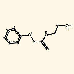 C=C(COc1ccccc1)OCCO